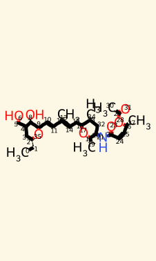 CC[C@@H]1CC(CO)[C@H](O)C(/C=C/C(C)=C/CC2OC(C)C(NC(=O)/C=C\C(C)OC(C)=O)CC2C)O1